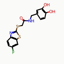 O=C(CSc1nc2ccc(F)cc2s1)NCc1ccc(O)c(O)c1